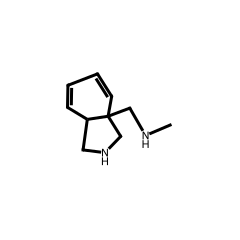 CNCC12C=CC=CC1CNC2